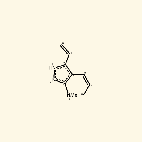 C=Cc1[nH]nc(NC)c1/C=C\C